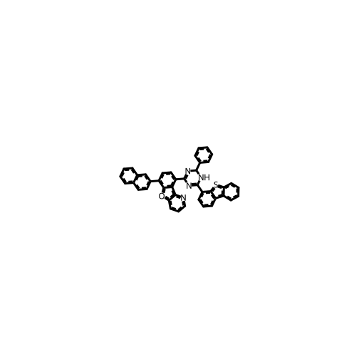 c1ccc(C2N=C(c3ccc(-c4ccc5ccccc5c4)c4oc5cccnc5c34)N=C(c3cccc4c3sc3ccccc34)N2)cc1